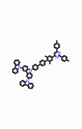 Cc1ccc(-c2cc(-c3cc(C)c(-c4ccc(-c5ccc(-n6c7ccc(-n8c9ccccc9c9ccccc98)cc7c7cc(-n8c9ccccc9c9ccccc98)ccc76)cc5)cc4)c(C)c3)nc(-c3ccc(C)cc3)n2)cc1